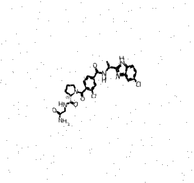 CC(NC(=O)c1ccc(C(=O)N2CCC[C@H]2C(=O)NCC(N)=O)c(Cl)c1)c1nc2cc(Cl)ccc2[nH]1